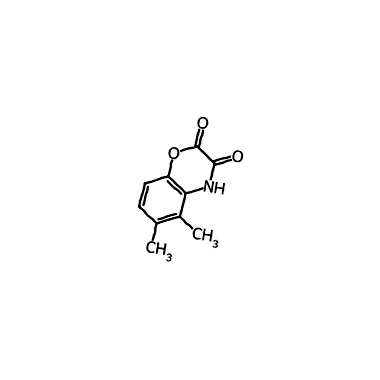 Cc1ccc2oc(=O)c(=O)[nH]c2c1C